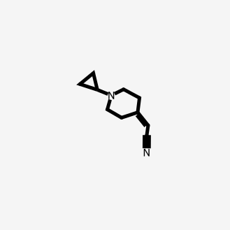 N#CC=C1CCN(C2CC2)CC1